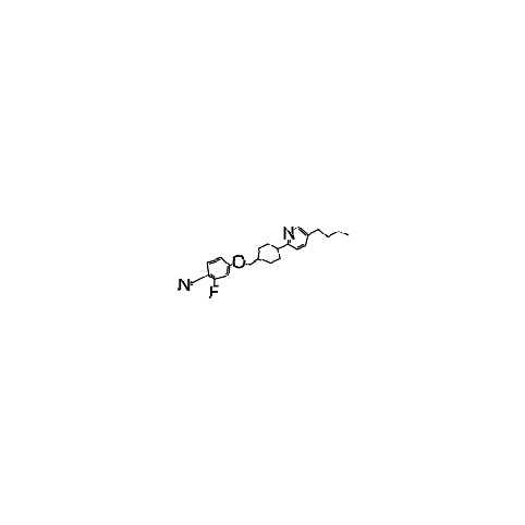 CCCCc1ccc(C2CCC(COc3ccc(C#N)c(F)c3)CC2)nc1